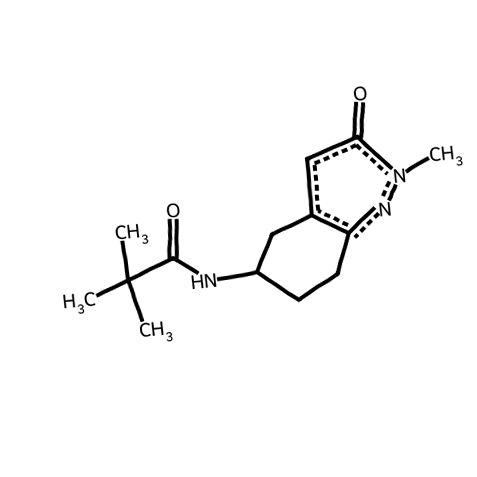 Cn1nc2c(cc1=O)CC(NC(=O)C(C)(C)C)CC2